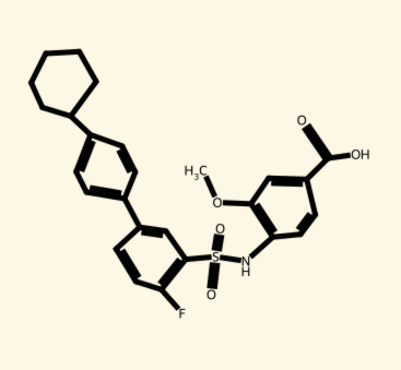 COc1cc(C(=O)O)ccc1NS(=O)(=O)c1cc(-c2ccc(C3CCCCC3)cc2)ccc1F